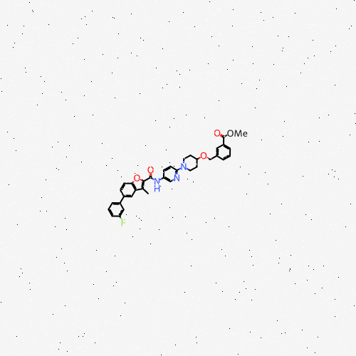 COC(=O)c1cccc(COC2CCN(c3ccc(NC(=O)c4oc5ccc(-c6cccc(F)c6)cc5c4C)cn3)CC2)c1